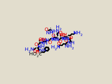 C[C@H](N)C(N)=O.C[C@H](NC(=O)[C@@H](N)CCC(N)=O)C(=O)N[C@@H](CCCCN)C(=O)N[C@@H](CO)C(=O)N[C@@H](CCC(N)=O)C(=O)NCC(=O)NCC(=O)N[C@@H](CO)C(=O)N[C@@H](CC(N)=O)C(=O)N[C@@H](Cc1ccccc1)C(=O)O